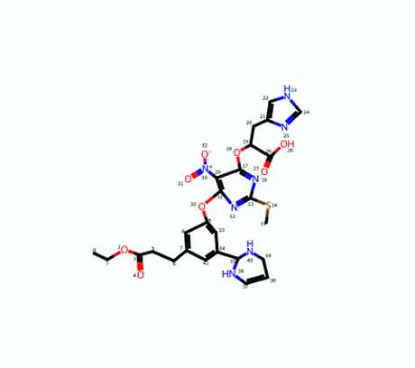 CCOC(=O)CCc1cc(Oc2nc(SC)nc(OC(Cc3c[nH]cn3)C(=O)O)c2[N+](=O)[O-])cc(C2NC=CCN2)c1